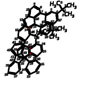 CC(C)(C)c1cc(-c2cccc3cccc(-c4ccccc4N(c4cccc(C5(c6ccccc6)c6ccccc6-c6ccccc65)c4)c4ccccc4-c4ccccc4)c23)cc(C(C)(C)C)c1